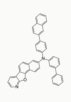 c1ccc(-c2cccc(N(c3ccc(-c4ccc5ccccc5c4)cc3)c3ccc4c(ccc5c6cccnc6oc45)c3)c2)cc1